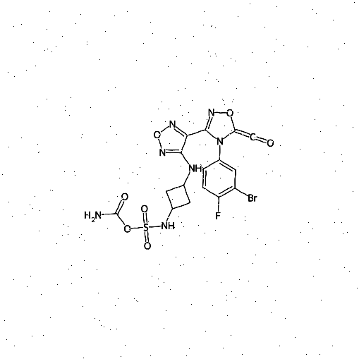 NC(=O)OS(=O)(=O)NC1CC(Nc2nonc2C2=NOC(=C=O)N2c2ccc(F)c(Br)c2)C1